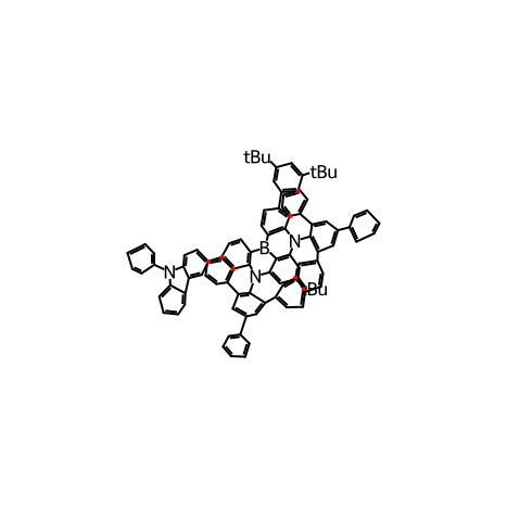 CC(C)(C)c1cc(-c2ccc3c(c2)N(c2c(-c4ccccc4)cc(-c4ccccc4)cc2-c2ccccc2)c2cc(C(C)(C)C)cc4c2B3c2ccc(-c3ccc5c(c3)c3ccccc3n5-c3ccccc3)cc2N4c2c(-c3ccccc3)cc(-c3ccccc3)cc2-c2ccccc2)cc(C(C)(C)C)c1